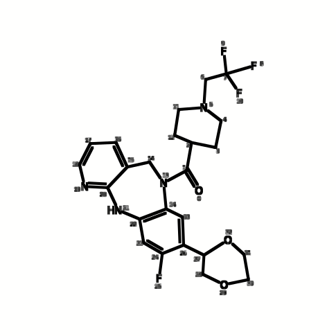 O=C(C1CCN(CC(F)(F)F)CC1)N1Cc2cccnc2Nc2cc(F)c(C3COCCO3)cc21